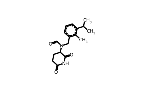 Cc1c(CN(C=O)C2CCC(=O)NC2=O)cccc1C(C)C